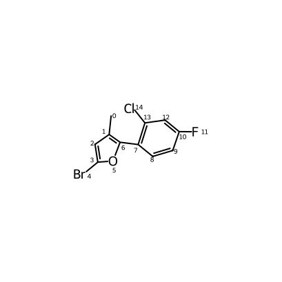 Cc1cc(Br)oc1-c1ccc(F)cc1Cl